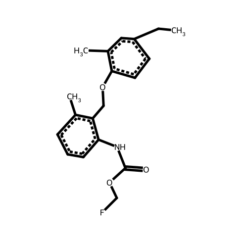 CCc1ccc(OCc2c(C)cccc2NC(=O)OCF)c(C)c1